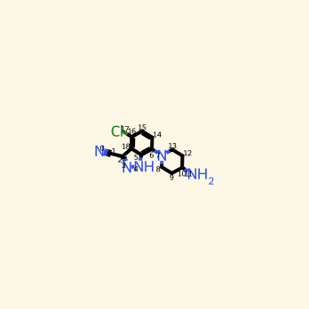 N#Cc1n[nH]c2c(N3CCC(N)CC3)ccc(Cl)c12